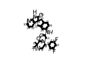 CC1(C)NC[C@@H](c2cc(F)cc(F)c2)N(CC(=O)Nc2ccc3c(c2)C[C@@]2(C3)C(=O)Nc3ncccc32)C1=O